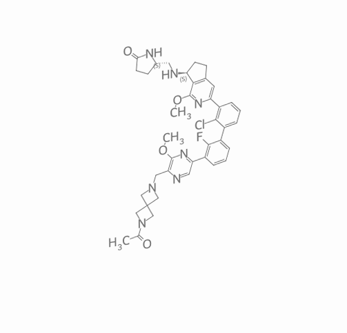 COc1nc(-c2cccc(-c3cccc(-c4cc5c(c(OC)n4)[C@@H](NC[C@@H]4CCC(=O)N4)CC5)c3Cl)c2F)cnc1CN1CC2(C1)CN(C(C)=O)C2